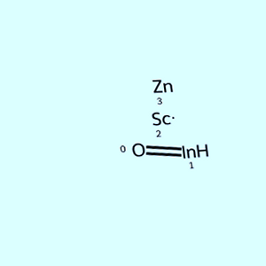 [O]=[InH].[Sc].[Zn]